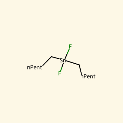 CCCCC[CH2][Sn]([F])([F])[CH2]CCCCC